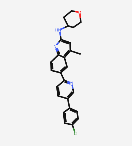 Cc1cc(NC2CCOCC2)nc2ccc(-c3ccc(-c4ccc(Cl)cc4)cn3)cc12